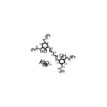 CC(=O)[O-].CC(=O)[O-].CC(C)CCc1cc(C=NCCN=Cc2cc(CCC(C)C)cc(CCC(C)C)c2O)c(O)c(CCC(C)C)c1.[Co+2]